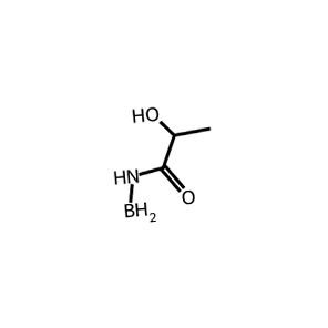 BNC(=O)C(C)O